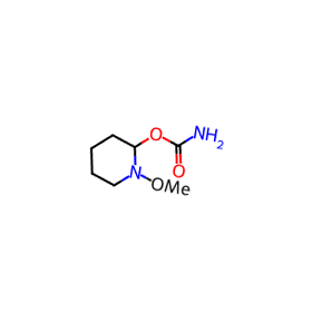 CON1CCCCC1OC(N)=O